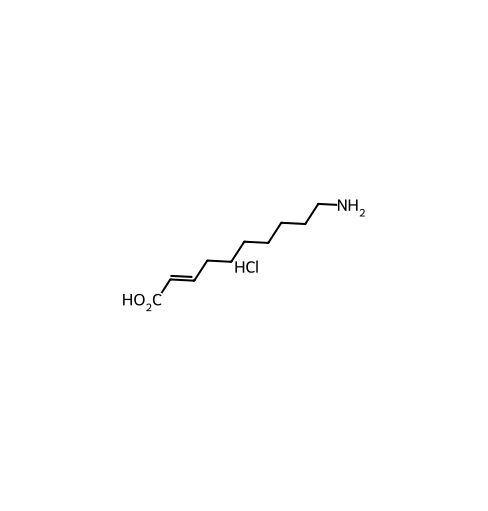 Cl.NCCCCCCC/C=C/C(=O)O